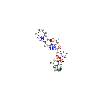 O=C(CC1CCCN1S(=O)(=O)c1cccc(C(F)(F)F)c1)N[C@@H]1CCOc2cc(CN3CCCCCC3)ccc21